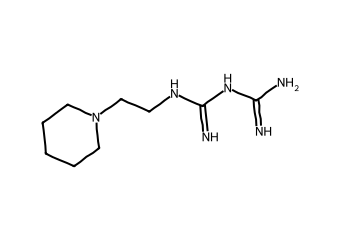 N=C(N)NC(=N)NCCN1CCCCC1